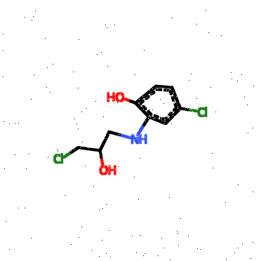 Oc1ccc(Cl)cc1NCC(O)CCl